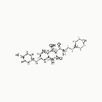 O=C(NCCN1CCOCC1)c1c(O)c2ncc(Cc3ccc(F)cc3)cc2[nH]c1=O